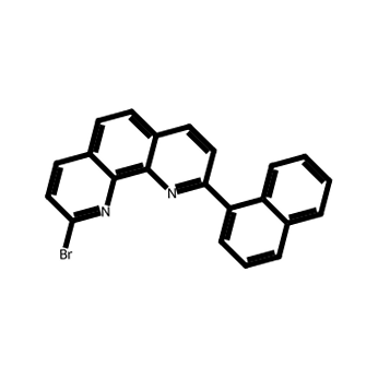 Brc1ccc2ccc3ccc(-c4cccc5ccccc45)nc3c2n1